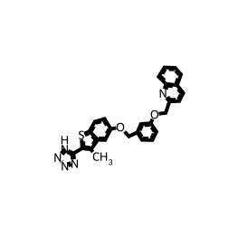 Cc1c(-c2nnn[nH]2)sc2ccc(OCc3cccc(OCc4ccc5ccccc5n4)c3)cc12